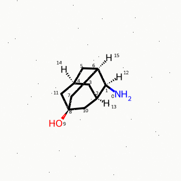 N[C@H]1[C@@H]2C[C@@H]3C[C@@H]1C[C@](O)(C2)C3